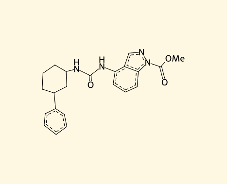 COC(=O)n1ncc2c(NC(=O)NC3CCCC(c4ccccc4)C3)cccc21